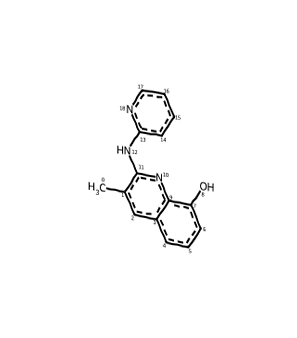 Cc1cc2cccc(O)c2nc1Nc1ccccn1